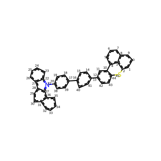 c1cc2c3c(cccc3c1)-c1cc(-c3ccc(-c4ccc(-n5c6ccccc6c6ccc7ccccc7c65)cc4)cc3)ccc1S2